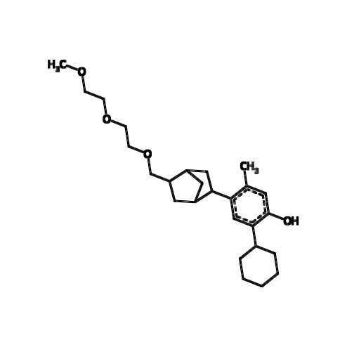 COCCOCCOCC1CC2CC1CC2c1cc(C2CCCCC2)c(O)cc1C